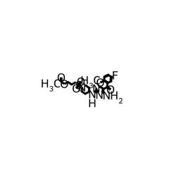 COc1ccc(F)cc1C(=O)c1cnc(NC2CCN(S(=O)(=O)CCCOC(C)=O)CC2)nc1N